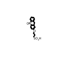 O=S(=O)(O)CCCOc1ccc2c(c1)Cc1ccccc1[S+]2[O-]